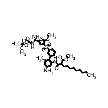 CCCCCCCCCC(C(=O)Nc1cc(N)cc(C)c1-c1cccc(S(=O)(=O)c2cc(C(=N)NC(=O)OC(C)(C)C)sc2SC)c1)C(=O)OC